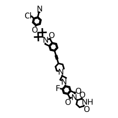 CC1(C)[C@H](Oc2ccc(C#N)c(Cl)c2)C(C)(C)[C@H]1N1Cc2cc(C#CC3CCN(C4CN(c5cc6c(cc5F)C(=O)N(C5CCC(=O)NC5=O)C6=O)C4)CC3)ccc2C1=O